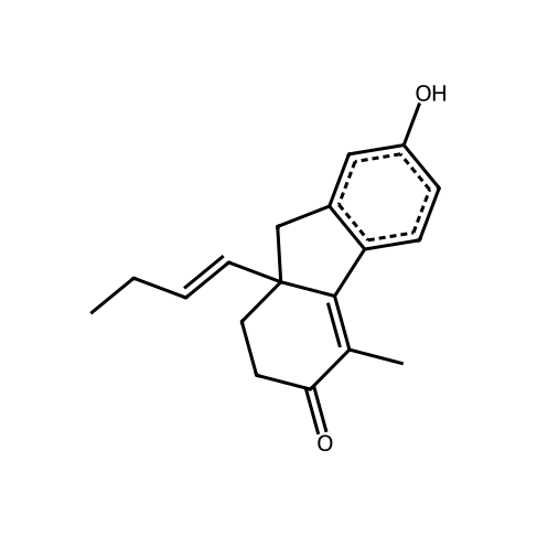 CC/C=C/C12CCC(=O)C(C)=C1c1ccc(O)cc1C2